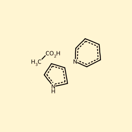 CC(=O)O.c1cc[nH]c1.c1ccncc1